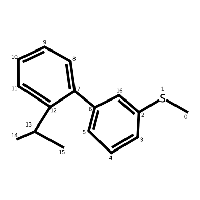 CSc1cccc(-c2ccccc2C(C)C)c1